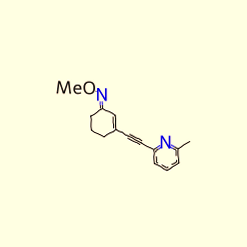 Cc1cccc(C#CC2=C/C(=N/O[11CH3])CCC2)n1